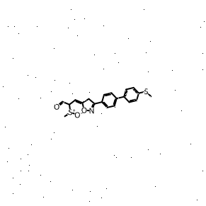 CSc1ccc(-c2ccc(C3=NO/C(=C\C(C=O)[S+](C)[O-])C3)cc2)cc1